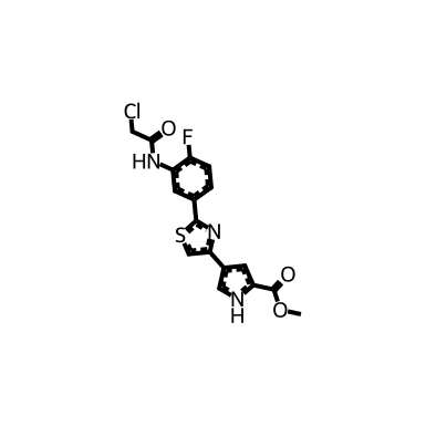 COC(=O)c1cc(-c2csc(-c3ccc(F)c(NC(=O)CCl)c3)n2)c[nH]1